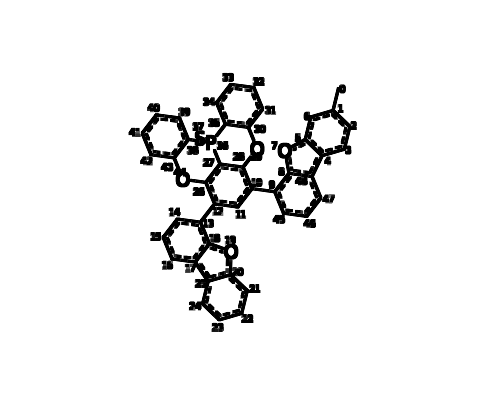 Cc1ccc2c(c1)oc1c(-c3cc(-c4cccc5c4oc4ccccc45)c4c5c3Oc3ccccc3P5(=S)c3ccccc3O4)cccc12